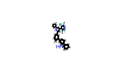 Fc1nc(F)c(F)c(-c2cc(-c3ccccc3)nc(-c3cccc(-c4ccc5c(c4)[nH]c4ccccc45)c3)c2)c1F